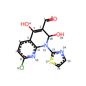 O=CC1=C(O)c2ccc(Cl)nc2N(c2nccs2)C1O